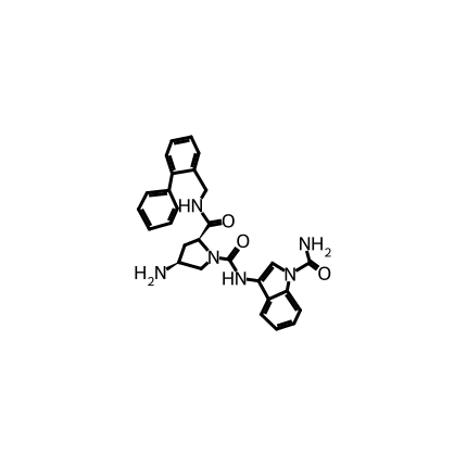 NC(=O)n1cc(NC(=O)N2C[C@@H](N)C[C@H]2C(=O)NCc2ccccc2-c2ccccc2)c2ccccc21